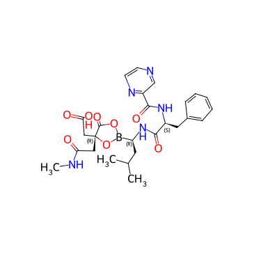 CNC(=O)C[C@]1(CC(=O)O)OB([C@H](CC(C)C)NC(=O)[C@H](Cc2ccccc2)NC(=O)c2cnccn2)OC1=O